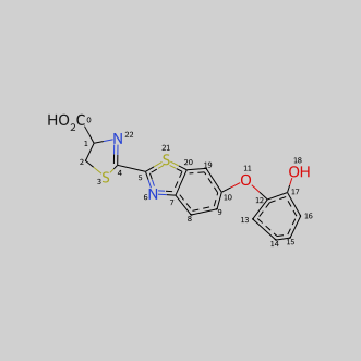 O=C(O)C1CSC(c2nc3ccc(Oc4ccccc4O)cc3s2)=N1